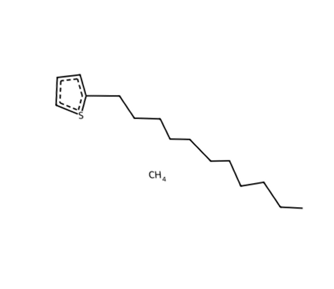 C.CCCCCCCCCCCc1cccs1